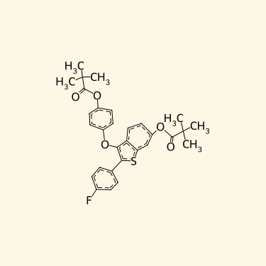 CC(C)(C)C(=O)Oc1ccc(Oc2c(-c3ccc(F)cc3)sc3cc(OC(=O)C(C)(C)C)ccc23)cc1